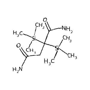 C[Si](C)(C)C(CC(N)=O)(C(N)=O)[Si](C)(C)C